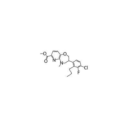 CCCc1c(C2COc3ccc(C(=O)OC)nc3N(C)C2)ccc(Cl)c1F